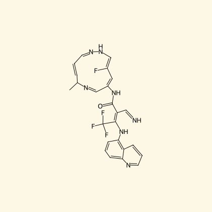 CC1/C=C\C=N/N/C=C(F)/C=C(NC(=O)/C(C=N)=C(/Nc2cccc3ncccc23)C(F)(F)F)\C=N/1